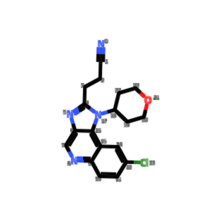 N#CCCc1nc2cnc3ccc(Cl)cc3c2n1C1CCOCC1